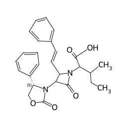 CCC(C)C(C(=O)O)N1C(=O)C(N2C(=O)OC[C@@H]2c2ccccc2)C1C=Cc1ccccc1